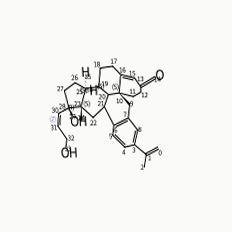 C=C(C)c1ccc2c(c1)C[C@]13CCC(=O)C=C1CC[C@@H]1C3C2C[C@@]2(C)[C@H]1CC[C@@]2(O)/C=C\CO